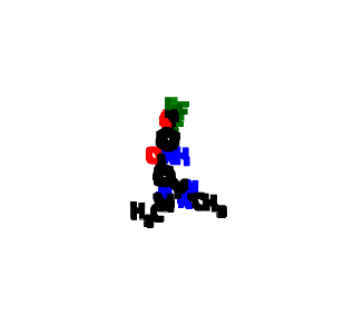 Cc1ncc(-c2cc(C(=O)Nc3ccc(OC(F)(F)F)cc3)ccc2N2CC[C@@H](C)C2)cn1